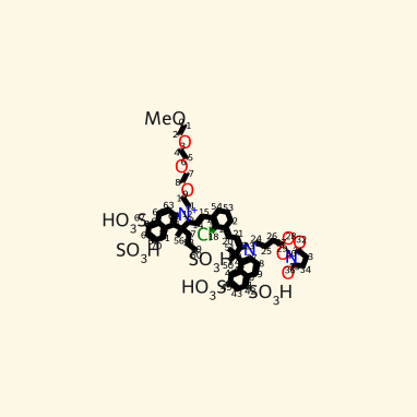 COCCOCCOCCOCC[N+]1=C(/C=C/C2=C(Cl)C(=C/C=C3/N(CCCC(=O)ON4C(=O)CCC4=O)c4ccc5c(S(=O)(=O)O)cc(S(=O)(=O)O)cc5c4C3(C)C)/CCC2)C(C)(CCCS(=O)(=O)O)c2c1ccc1c(S(=O)(=O)O)cc(S(=O)(=O)O)cc21